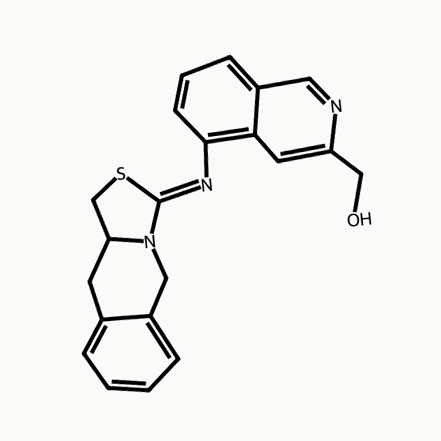 OCc1cc2c(N=C3SCC4Cc5ccccc5CN34)cccc2cn1